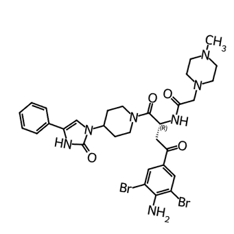 CN1CCN(CC(=O)N[C@H](CC(=O)c2cc(Br)c(N)c(Br)c2)C(=O)N2CCC(n3cc(-c4ccccc4)[nH]c3=O)CC2)CC1